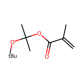 C=C(C)C(=O)OC(C)(C)OC(C)(C)C